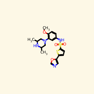 COc1ccc(NS(=O)(=O)c2ccc(-c3cnco3)s2)cc1N1CC(C)NC(C)C1